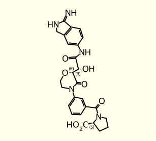 N=C1NCc2cc(NC(=O)[C@H](O)[C@H]3OCCN(c4cccc(C(=O)N5CCC[C@H]5C(=O)O)c4)C3=O)ccc21